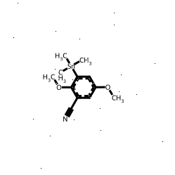 COc1cc(C#N)c(OC)[c]([Sn]([CH3])([CH3])[CH3])c1